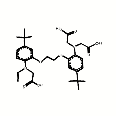 CCN(CC(=O)O)c1ccc(C(C)(C)C)cc1OCCOc1cc(C(C)(C)C)ccc1N(CC(=O)O)CC(=O)O